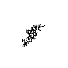 CCNC(=O)Nc1cc(-n2ccc(C(F)(F)F)n2)c(-c2cncc(/C=C/C(=O)NOC(C)(C)C)c2)cn1